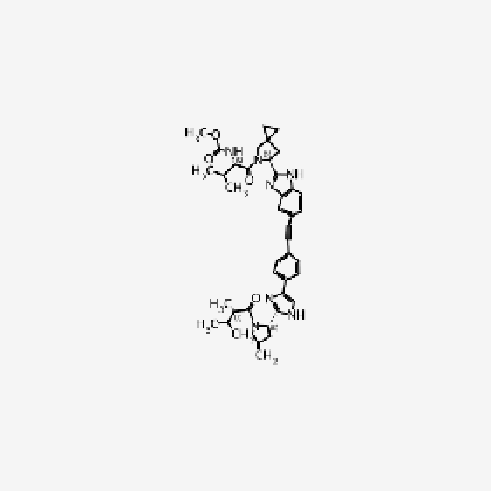 C=C1C[C@@H](c2nc(-c3ccc(C#Cc4ccc5[nH]c([C@@H]6CC7(CC7)CN6C(=O)[C@@H](NC(=O)OC)C(C)C)nc5c4)cc3)c[nH]2)N(C(=O)[C@@H](C)C(C)C)C1